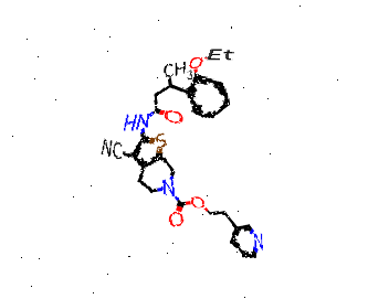 CCOc1ccccc1C(C)CC(=O)Nc1sc2c(c1C#N)CCN(C(=O)OCCc1cccnc1)C2